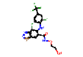 O=C(NOCCO)c1cc2snnc2c(F)c1Nc1ccc(C(F)(F)F)cc1F